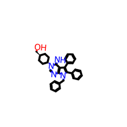 N=c1c2c(-c3ccccc3)c(-c3ccccc3)n(Cc3ccccc3)c2ncn1[C@H]1CC[C@H](CO)CC1